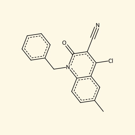 Cc1ccc2c(c1)c(Cl)c(C#N)c(=O)n2Cc1ccccc1